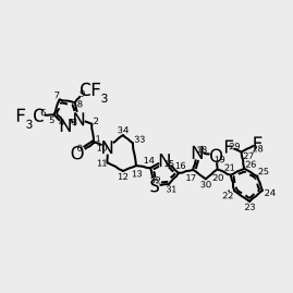 O=C(Cn1nc(C(F)(F)F)cc1C(F)(F)F)N1CCC(c2nc(C3=NOC(c4[c]cccc4C(F)F)C3)cs2)CC1